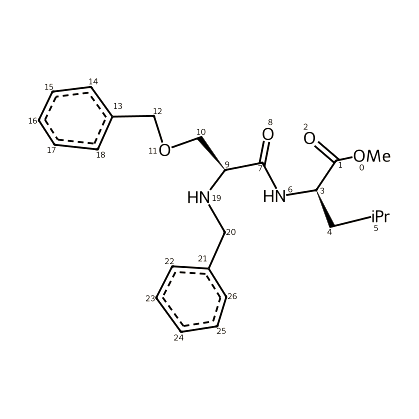 COC(=O)[C@@H](CC(C)C)NC(=O)[C@H](COCc1ccccc1)NCc1ccccc1